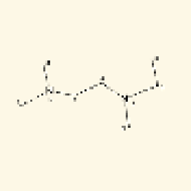 CCN(C)CCN(C)C